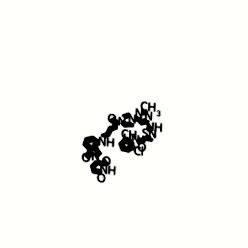 Cc1nc(Nc2ncc(C(=O)Nc3c(C)cccc3Cl)s2)cc(N2CCN(C(=O)CCCCNc3cccc4c3CN(C3CCC(=O)NC3=O)C4=O)CC2)n1